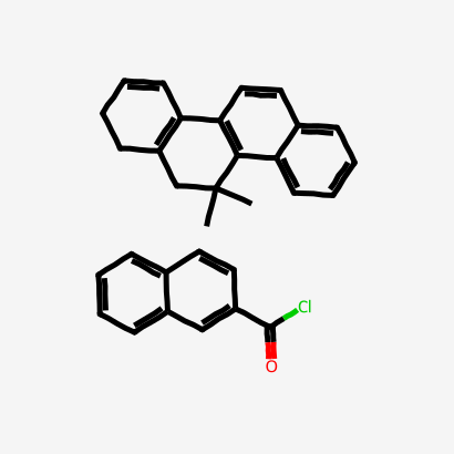 CC1(C)CC2=C(C=CCC2)c2ccc3ccccc3c21.O=C(Cl)c1ccc2ccccc2c1